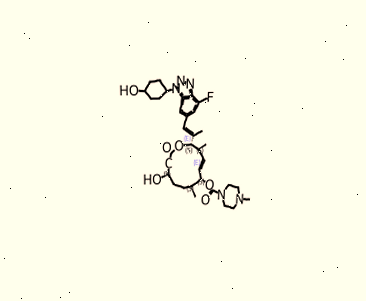 C/C(=C\c1cc(F)c2nnn(C3CCC(O)CC3)c2c1)[C@H]1OC(=O)C[C@H](O)CC[C@H](C)[C@H](OC(=O)N2CCN(C)CC2)/C=C/[C@@H]1C